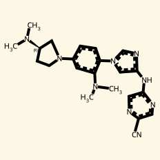 CN(C)c1cc(N2CC[C@@H](N(C)C)C2)ccc1-n1cnc(Nc2cnc(C#N)cn2)c1